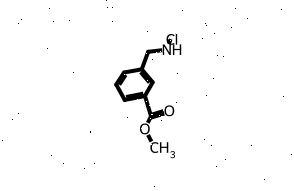 COC(=O)c1cccc(CNCl)c1